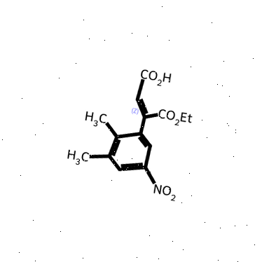 CCOC(=O)/C(=C\C(=O)O)c1cc([N+](=O)[O-])cc(C)c1C